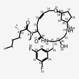 CCCC[C@H](C)C(=O)N(C)C1CC=CCO[C@H]2CC[C@H](C2)NC[C@@H](O)[C@H](Cc2cc(F)cc(F)c2)NC1=O